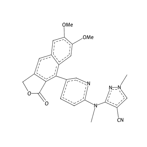 COc1cc2cc3c(c(-c4ccc(N(C)c5nn(C)cc5C#N)nc4)c2cc1OC)C(=O)OC3